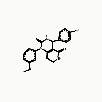 O=C1NCCC2=C1C(c1ccc(Br)cc1)NC(=O)N2c1cccc(CF)c1